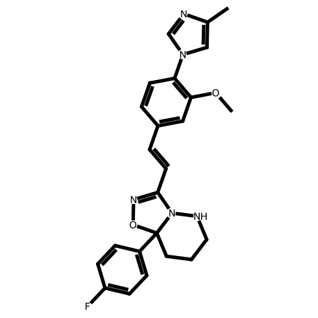 COc1cc(/C=C/C2=NOC3(c4ccc(F)cc4)CCCNN23)ccc1-n1cnc(C)c1